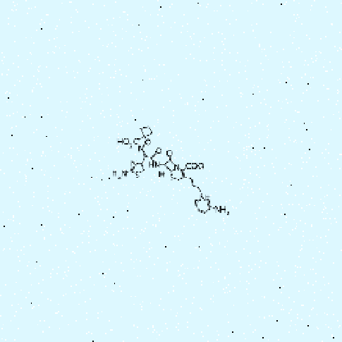 Nc1ccc[n+](C/C=C/C2=C(C(=O)[O-])N3C(=O)C(NC(=O)/C(=N\OC4(C(=O)O)CCC4)c4csc(N)n4)[C@@H]3SC2)c1